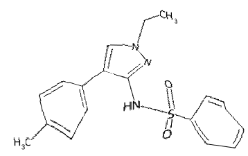 CCn1cc(-c2ccc(C)cc2)c(NS(=O)(=O)c2ccccc2)n1